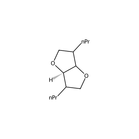 CCCC1CO[C@@H]2C(CCC)COC12